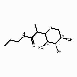 CCCNC(=O)C(C)C1OC[C@@H](O)[C@H](O)[C@H]1O